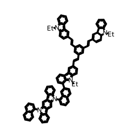 CCN1c2ccccc2C2C=C(/C=C/c3cc(/C=C/c4ccc5c(c4)c4ccccc4n5CC)cc(/C=C/c4ccc5c(c4)c4cccc(-c6ccc7cccc(-n8c9ccccc9c9cc%10c(cc98)c8ccccc8n%10-c8cccc9ccccc89)c7c6)c4n5CC)c3)C=CC21